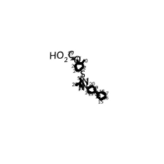 Cc1cc(SCc2nn(-c3ccc(-c4ccccc4)cc3)nc2C)ccc1OCC(=O)O